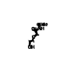 CNNC(=O)COCCO